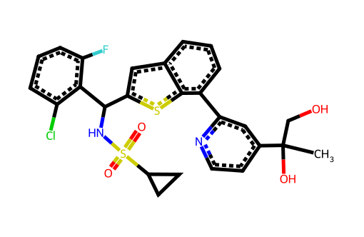 CC(O)(CO)c1ccnc(-c2cccc3cc(C(NS(=O)(=O)C4CC4)c4c(F)cccc4Cl)sc23)c1